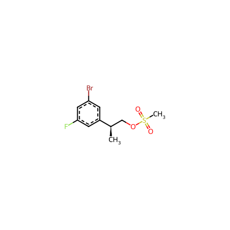 C[C@H](COS(C)(=O)=O)c1cc(F)cc(Br)c1